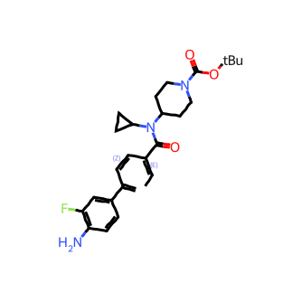 C=C(/C=C\C(=C/C)C(=O)N(C1CC1)C1CCN(C(=O)OC(C)(C)C)CC1)c1ccc(N)c(F)c1